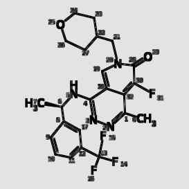 Cc1nnc(N[C@H](C)c2cccc(C(F)(F)F)c2)c2cn(CC3CCOCC3)c(=O)c(F)c12